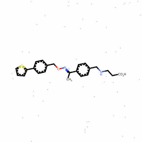 C/C(=N\OCc1ccc(-c2cccs2)cc1)c1ccc(CNCCC(=O)O)cc1